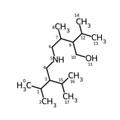 CC(C)C(CNCC(C)C(CO)C(C)C)C(C)C